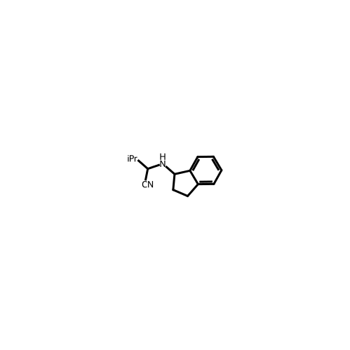 CC(C)C(C#N)NC1CCc2ccccc21